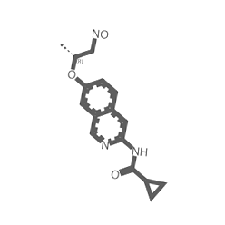 C[C@H](CN=O)Oc1ccc2cc(NC(=O)C3CC3)ncc2c1